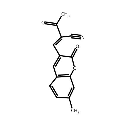 CC(=O)/C(C#N)=C/c1cc2ccc(C)cc2oc1=O